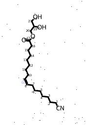 N#CCCCCCCC/C=C\CCCCCCCC(=O)OCC(O)CO